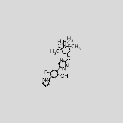 CC1(C)CC(Oc2ncc(-c3cc(F)c(-n4cccn4)cc3O)nn2)CC(C)(C)N1